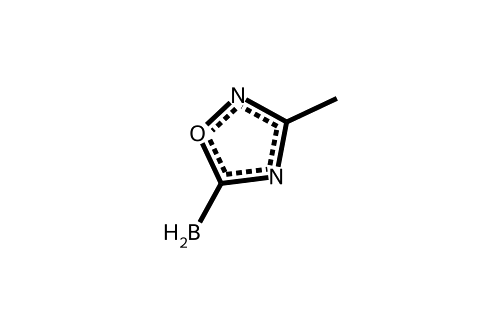 Bc1nc(C)no1